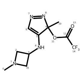 CN1CC(NC2=CN=NC2(C)OC(=O)C(F)(F)F)C1